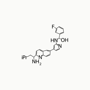 CC(C)CC(N)c1ccc2cc(-c3ccnc(NC(O)c4cccc(F)c4)c3)ccc2n1